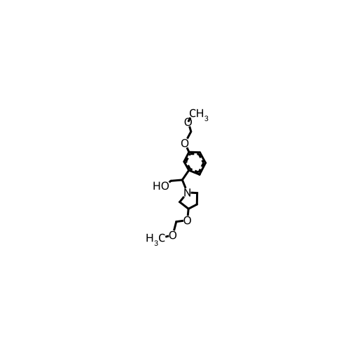 COCOc1cccc(C(CO)N2CCC(OCOC)C2)c1